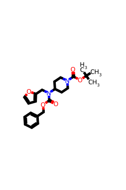 CC(C)(C)OC(=O)N1CCC(N(Cc2ccco2)C(=O)OCc2ccccc2)CC1